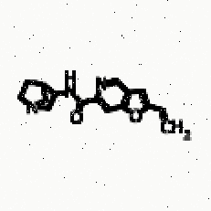 C=Cc1cc2cnc(C(=O)NC3CN4CCC3C4)cc2o1